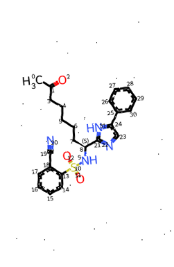 CC(=O)CCCCC[C@H](NS(=O)(=O)c1ccccc1C#N)c1ncc(-c2ccccc2)[nH]1